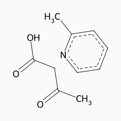 CC(=O)CC(=O)O.Cc1ccccn1